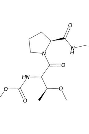 CNC(=O)[C@@H]1CCCN1C(=O)[C@@H](NC(=O)OC)[C@H](C)OC